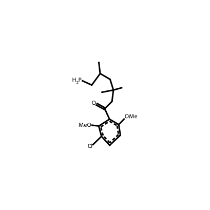 COc1ccc(Cl)c(OC)c1C(=O)CC(C)(C)CC(C)CP